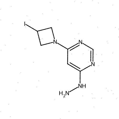 NNc1cc(N2CC(I)C2)ncn1